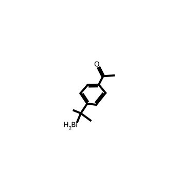 CC(=O)c1ccc([C](C)(C)[BiH2])cc1